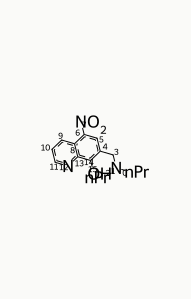 CCCN(CCC)Cc1cc([N+](=O)[O-])c2cccnc2c1O